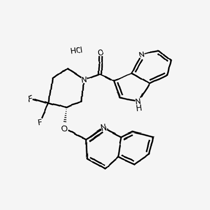 Cl.O=C(c1c[nH]c2cccnc12)N1CCC(F)(F)[C@@H](Oc2ccc3ccccc3n2)C1